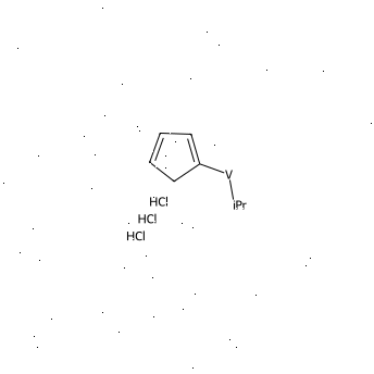 C[CH](C)[V][C]1=CC=CC1.Cl.Cl.Cl